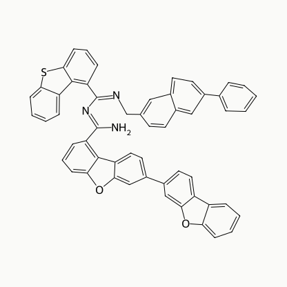 N/C(=N\C(=N/Cc1ccc2cc(-c3ccccc3)ccc2c1)c1cccc2sc3ccccc3c12)c1cccc2oc3cc(-c4ccc5c(c4)oc4ccccc45)ccc3c12